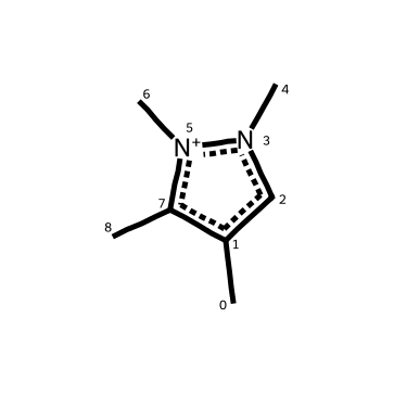 Cc1cn(C)[n+](C)c1C